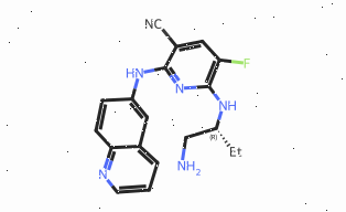 CC[C@H](CN)Nc1nc(Nc2ccc3ncccc3c2)c(C#N)cc1F